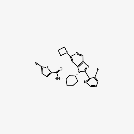 O=C(N[C@H]1CCC[C@@H](n2c(-c3ncccc3F)nc3cnc(N4CCC4)cc32)C1)c1ccc(Br)s1